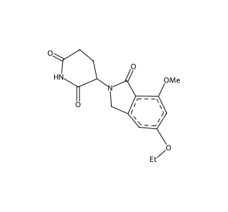 CCOc1cc2c(c(OC)c1)C(=O)N(C1CCC(=O)NC1=O)C2